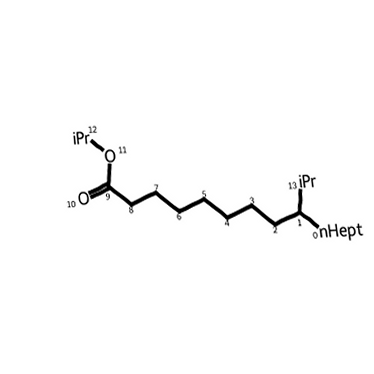 CCCCCCCC(CCCCCCCC(=O)OC(C)C)C(C)C